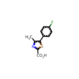 Cc1nc(C(=O)O)sc1-c1ccc(F)cc1